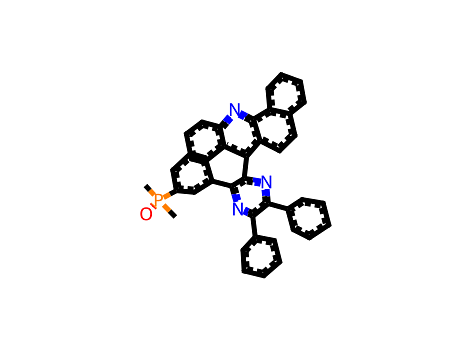 CP(C)(=O)c1cccc(-c2nc(-c3ccccc3)c(-c3ccccc3)nc2-c2c3ccccc3nc3c2ccc2ccccc23)c1